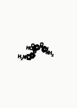 Nc1ccc(C(=O)N2CCC(COc3ccc4c(c3)CN(N)CC4)(C(=O)O)CC2)cn1